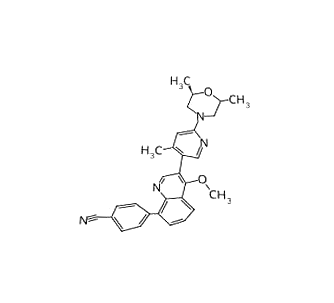 COc1c(-c2cnc(N3CC(C)O[C@H](C)C3)cc2C)cnc2c(-c3ccc(C#N)cc3)cccc12